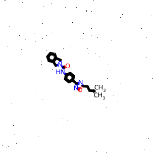 CC(C)CCc1nc(-c2ccc(NC(=O)N3Cc4ccccc4C3)cc2)no1